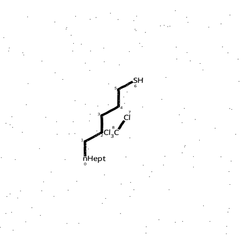 CCCCCCCCCCCCS.ClC(Cl)(Cl)Cl